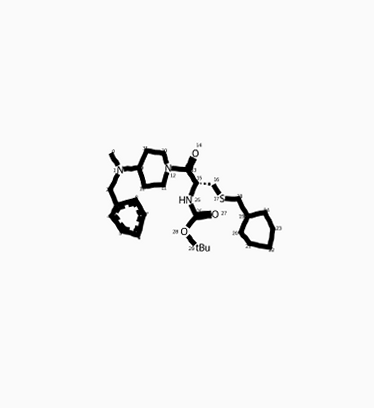 CN(Cc1ccccc1)C1CCN(C(=O)[C@H](CSCC2CCCCC2)NC(=O)OC(C)(C)C)CC1